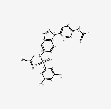 CC(=O)Nc1cnc(-n2ccc3cc(N(CC(=O)O)S(=O)(=O)c4cc(Cl)cc(Cl)c4)ccc32)cn1